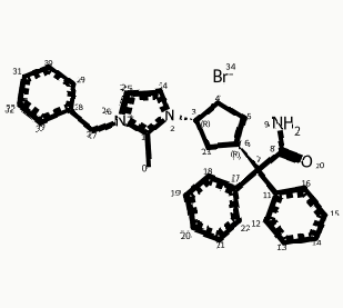 Cc1n([C@@H]2CC[C@@H](C(C(N)=O)(c3ccccc3)c3ccccc3)C2)cc[n+]1Cc1ccccc1.[Br-]